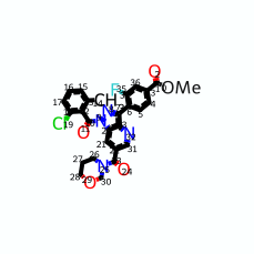 COC(=O)c1ccc(-c2nn(C(=O)c3c(C)cccc3Cl)c3cc(C(=O)N4CCCOC4)cnc23)c(F)c1